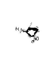 Nc1cc[c]c([N+](=O)[O-])c1